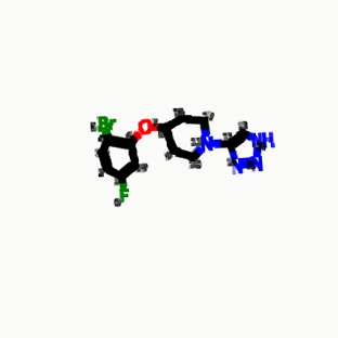 Fc1ccc(Br)c(OC2CCN(c3c[nH]nn3)CC2)c1